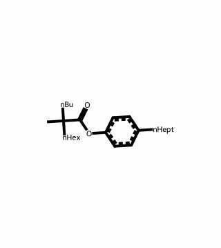 CCCCCCCc1ccc(OC(=O)C(C)(CCCC)CCCCCC)cc1